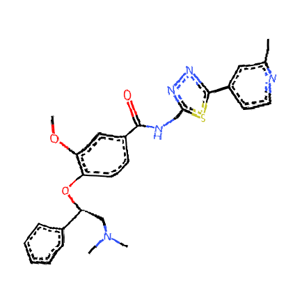 COc1cc(C(=O)Nc2nnc(-c3ccnc(C)c3)s2)ccc1O[C@@H](CN(C)C)c1ccccc1